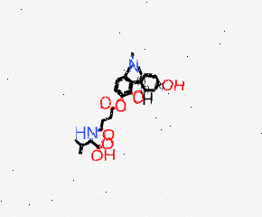 CC(C)C(NC(=O)CCC(=O)Oc1ccc2c3c1O[C@H]1C[C@@H](O)C=C[C@@]31CCN(C)C2)C(=O)O